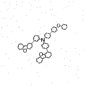 c1ccc(Oc2ccc(-c3ccc(N(c4ccc(-c5cccc6c5oc5ccccc56)cc4)c4cccc(-c5ccc6oc7ccccc7c6c5)c4)cc3)cc2)cc1